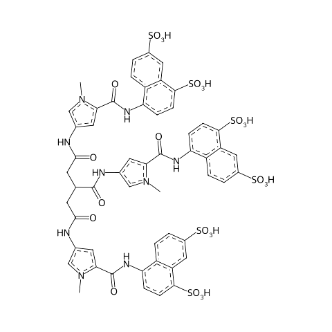 Cn1cc(NC(=O)CC(CC(=O)Nc2cc(C(=O)Nc3ccc(S(=O)(=O)O)c4cc(S(=O)(=O)O)ccc34)n(C)c2)C(=O)Nc2cc(C(=O)Nc3ccc(S(=O)(=O)O)c4cc(S(=O)(=O)O)ccc34)n(C)c2)cc1C(=O)Nc1ccc(S(=O)(=O)O)c2cc(S(=O)(=O)O)ccc12